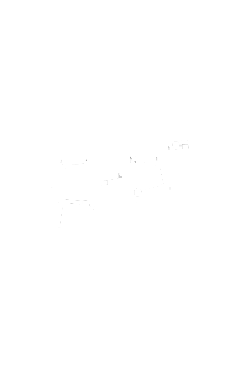 Cc1cccc(C2=NC(O)CO2)c1